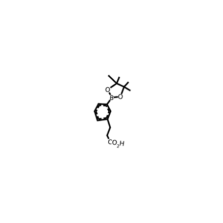 CC1(C)OB(c2cccc(CCC(=O)O)c2)OC1(C)C